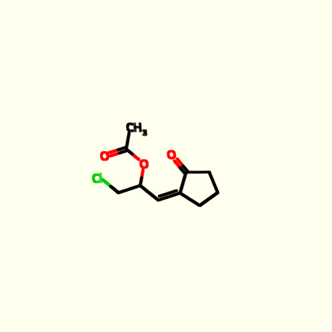 CC(=O)OC(C=C1CCCC1=O)CCl